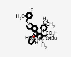 Cc1cc(F)ccc1CN1CCc2cc(-c3c(CN4[C@@H]5CC[C@H]4CN(C)C5)nc(C)c(C(OC(C)(C)C)C(=O)O)c3N3CCC(C)(C)CC3)ccc2C1